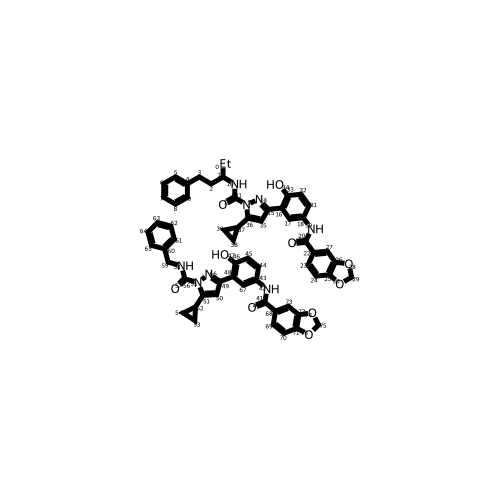 CCC(CCc1ccccc1)NC(=O)n1nc(-c2cc(NC(=O)c3ccc4c(c3)OCO4)ccc2O)cc1C1CC1.O=C(Nc1ccc(O)c(-c2cc(C3CC3)n(C(=O)NCc3ccccc3)n2)c1)c1ccc2c(c1)OCO2